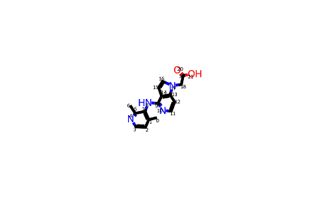 Cc1ccnc(C)c1Nc1nccc2c1ccn2CC(=O)O